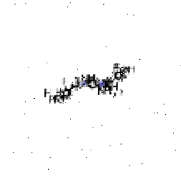 Bc1cc(CCN(N)/C=C(\N)c2ccc(/C(N)=C/N(N)CCc3ccc(O)c(F)c3)cc2)ccc1O